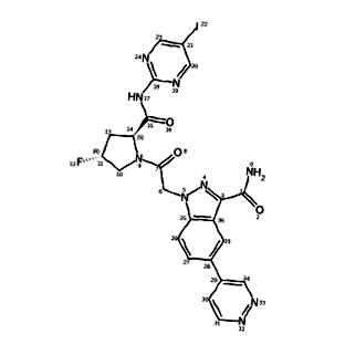 NC(=O)c1nn(CC(=O)N2C[C@H](F)C[C@H]2C(=O)Nc2ncc(I)cn2)c2ccc(-c3ccnnc3)cc12